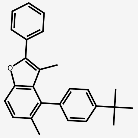 Cc1ccc2oc(-c3ccccc3)c(C)c2c1-c1ccc(C(C)(C)C)cc1